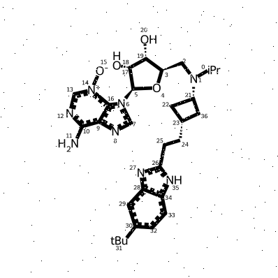 CC(C)N(C[C@H]1O[C@@H](n2cnc3c(N)nc[n+]([O-])c32)[C@H](O)[C@@H]1O)[C@H]1C[C@@H](CCc2nc3cc(C(C)(C)C)ccc3[nH]2)C1